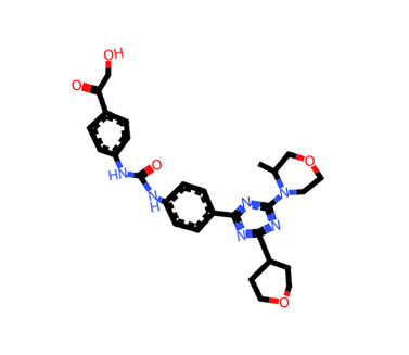 CC1COCCN1c1nc(-c2ccc(NC(=O)Nc3ccc(C(=O)CO)cc3)cc2)nc(C2CCOCC2)n1